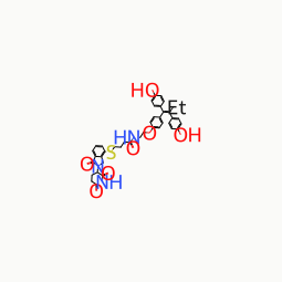 CCC(=C(c1ccc(O)cc1)c1ccc(OCCNC(=O)CCCSc2cccc3c2CN(C2CCC(=O)NC2=O)C3=O)cc1)c1ccc(O)cc1